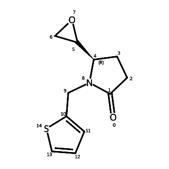 O=C1CC[C@H](C2CO2)N1Cc1cccs1